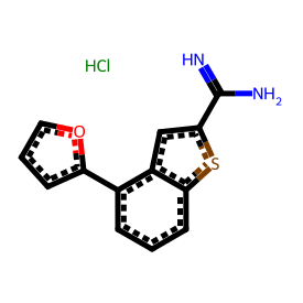 Cl.N=C(N)c1cc2c(-c3ccco3)cccc2s1